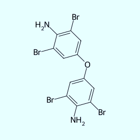 Nc1c(Br)cc(Oc2cc(Br)c(N)c(Br)c2)cc1Br